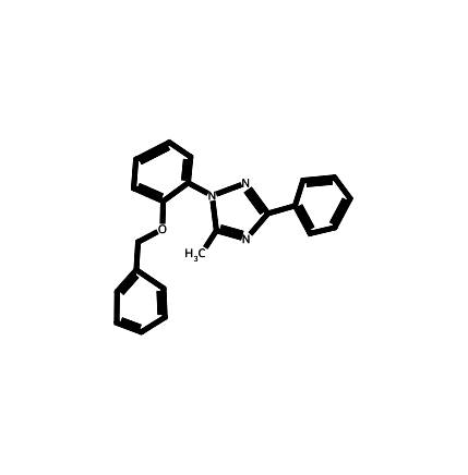 Cc1nc(-c2ccccc2)nn1-c1ccccc1OCc1ccccc1